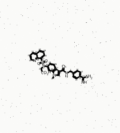 Cn1cc(C(=O)NCc2ccc(C(=N)N)cc2)c2ccc(N(CC(=O)O)S(=O)(=O)c3cccc4cccnc34)cc21